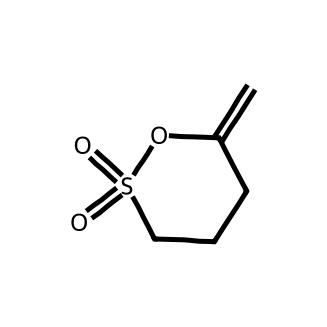 C=C1CCCS(=O)(=O)O1